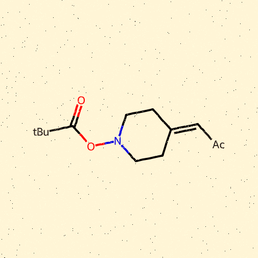 CC(=O)C=C1CCN(OC(=O)C(C)(C)C)CC1